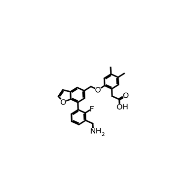 Cc1cc(CC(=O)O)c(OCc2cc(-c3cccc(CN)c3F)c3occc3c2)cc1C